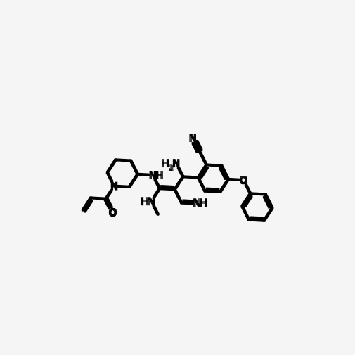 C=CC(=O)N1CCCC(N/C(NC)=C(/C=N)C(N)c2ccc(Oc3ccccc3)cc2C#N)C1